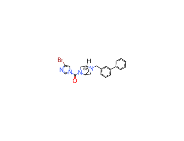 O=C(N1C[C@@H]2CC1CN2Cc1cccc(-c2ccccc2)c1)n1cnc(Br)c1